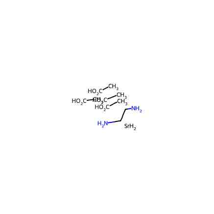 CC(=O)O.CC(=O)O.CC(=O)O.CC(=O)O.NCCN.[SrH2]